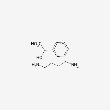 NCCCCN.O=C(O)C(O)c1ccccc1